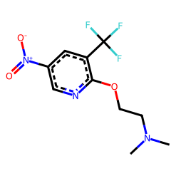 CN(C)CCOc1ncc([N+](=O)[O-])cc1C(F)(F)F